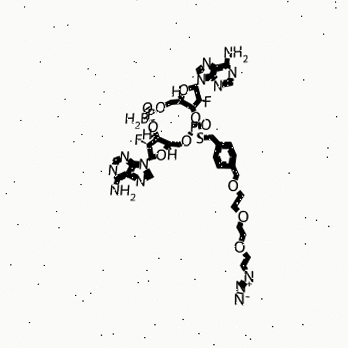 B[P@]1(=O)OC[C@H]2O[C@@H](n3cnc4c(N)ncnc43)[C@H](F)C2O[P@](=O)(SCc2ccc(COCCOCCOCCN=[N+]=[N-])cc2)OC[C@H]2O[C@@H](n3cnc4c(N)ncnc43)[C@H](F)[C@@H]2O1